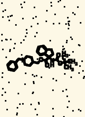 CC(C)(C)OC(=O)NC1(C(=O)OCC2CCN(Cc3ccccc3)CC2)CCc2ccccc21